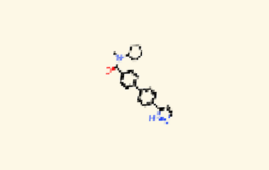 CN(C(=O)c1ccc(-c2ccc(-c3ccn[nH]3)cc2)cc1)C1CCCC1